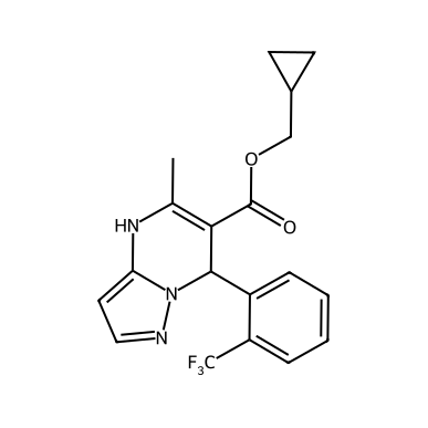 CC1=C(C(=O)OCC2CC2)C(c2ccccc2C(F)(F)F)n2nccc2N1